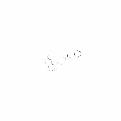 COc1cc2ncnc(N3CCN(C(=O)Nc4ccc(C)cc4)CC3)c2cc1OC